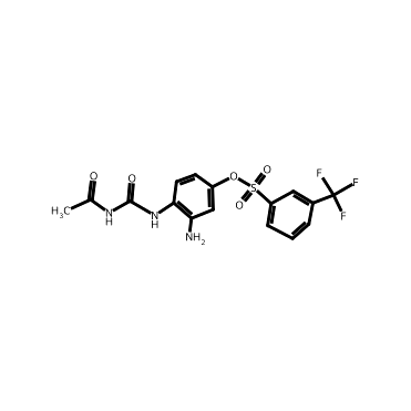 CC(=O)NC(=O)Nc1ccc(OS(=O)(=O)c2cccc(C(F)(F)F)c2)cc1N